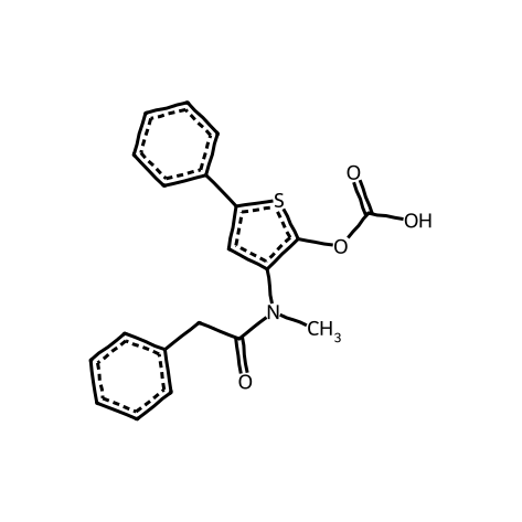 CN(C(=O)Cc1ccccc1)c1cc(-c2ccccc2)sc1OC(=O)O